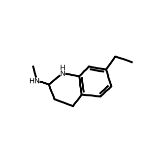 CCc1ccc2c(c1)NC(NC)CC2